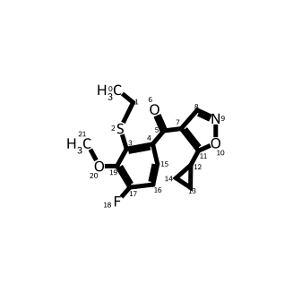 CCSc1c(C(=O)c2cnoc2C2CC2)ccc(F)c1OC